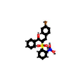 O=C(/C(=C\c1ccc(Br)cc1)S(=O)(=O)c1ccccc1[N+](=O)[O-])c1ccccc1